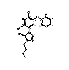 O=c1n(CCCF)nnn1-c1cc(Oc2ncccn2)c(Cl)cc1F